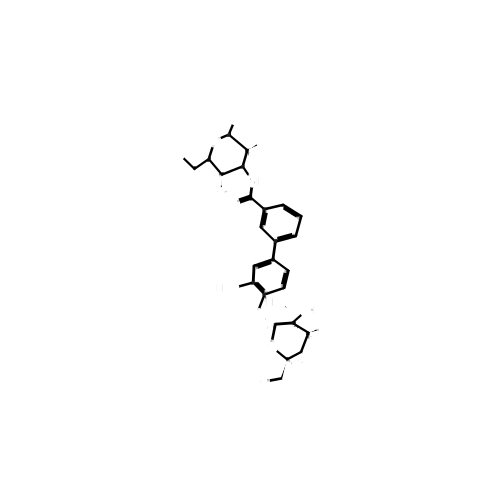 Cc1cc(-c2cccc(C(=O)NC3[C@H](O)C(O)OC(CO)[C@H]3O)c2)ccc1O[C@H]1O[C@H](CO)[C@@H](O)[C@H](O)[C@]1(C)O